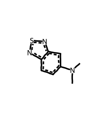 CN(C)c1ccc2nsnc2c1